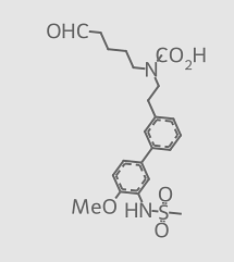 COc1ccc(-c2cccc(CCN(CCCCC=O)C(=O)O)c2)cc1NS(C)(=O)=O